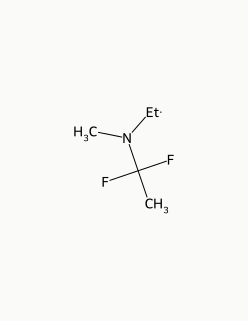 C[CH]N(C)C(C)(F)F